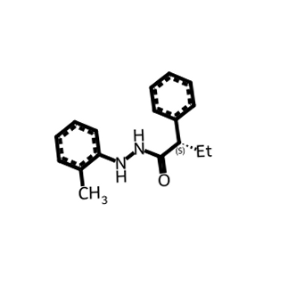 CC[C@H](C(=O)NNc1ccccc1C)c1ccccc1